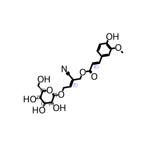 COc1cc(/C=C/C(=O)OC/C(C#N)=C/CO[C@@H]2O[C@H](CO)[C@@H](O)[C@H](O)[C@H]2O)ccc1O